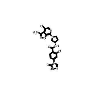 Nc1noc2c(N3CC[C@@H](NC(=O)c4ccc(-n5cn[nH]c5=O)cc4Cl)C3)ncc(Cl)c12